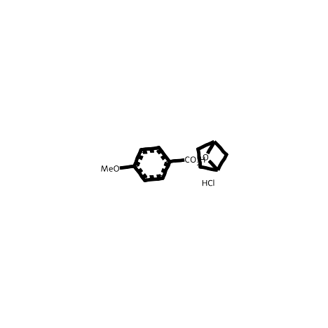 C1CC2CC1O2.COc1ccc(C(=O)O)cc1.Cl